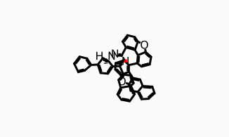 N/N=C(\N=C(/c1ccc(-c2ccccc2)cc1)c1ccc2ccccc2c1)c1cccc2oc3cccc(-c4cccc5oc6cc7ccccc7cc6c45)c3c12